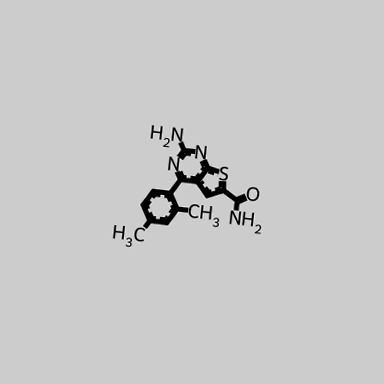 Cc1ccc(-c2nc(N)nc3sc(C(N)=O)cc23)c(C)c1